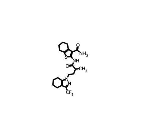 CC(CCn1nc(C(F)(F)F)c2c1CCCC2)C(=O)Nc1sc2c(c1C(N)=O)CCCC2